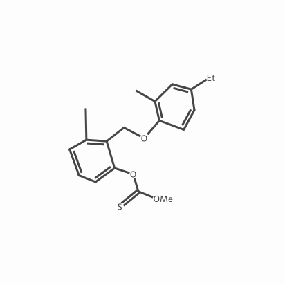 CCc1ccc(OCc2c(C)cccc2OC(=S)OC)c(C)c1